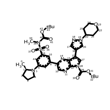 C[C@@H]1CCCN1c1cc(-c2cnc3c(n2)c(-c2cnn(C4CCOCC4)c2)cn3C(=O)OC(C)(C)C)cc(S(=O)(=O)N(C)C(=O)OC(C)(C)C)c1